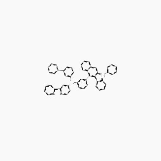 c1ccc(-c2cccc(N(c3cccc(-c4c5ccccc5cc5c4c4ccccc4n5-c4ccccc4)c3)c3ccc4oc5ccccc5c4c3)c2)cc1